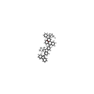 CC1(C)c2ccccc2-c2ccc(-c3ccccc3N(c3ccccc3)c3ccc4c(c3)C(C)(C)c3cc(-n5c6ccccc6c6ccccc65)ccc3-4)cc21